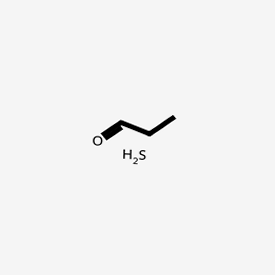 CCC=O.S